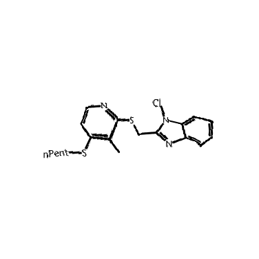 CCCCCSc1ccnc(SCc2nc3ccccc3n2Cl)c1C